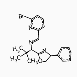 CC(C)(C)[C@@H](/N=C/c1cccc(Br)n1)C1=N[C@@H](c2ccccc2)CO1